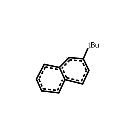 CC(C)(C)c1[c]c2ccccc2[c]c1